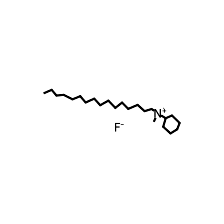 CCCCCCCCCCCCCCCC[N+](C)(C)C1CCCCC1.[F-]